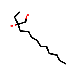 CCCCCCCCCCC(O)(CC)CO